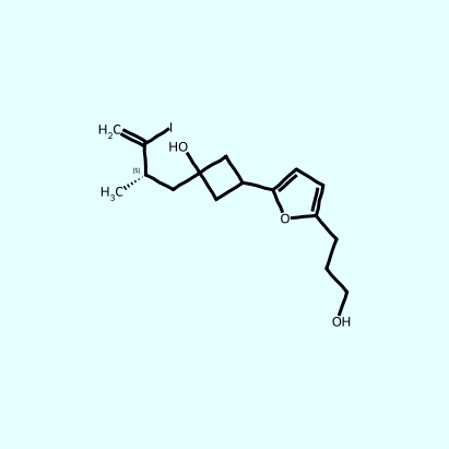 C=C(I)[C@@H](C)CC1(O)CC(c2ccc(CCCO)o2)C1